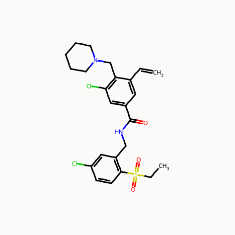 C=Cc1cc(C(=O)NCc2cc(Cl)ccc2S(=O)(=O)CC)cc(Cl)c1CN1CCCCC1